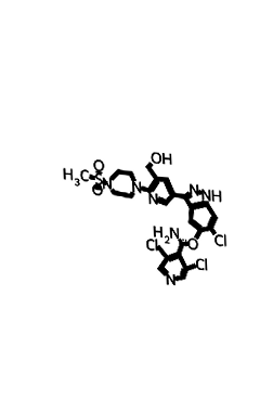 CS(=O)(=O)N1CCN(c2ncc(-c3n[nH]c4cc(Cl)c(O[C@H](N)c5c(Cl)cncc5Cl)cc34)cc2CO)CC1